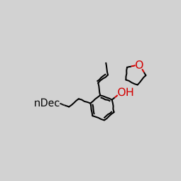 C1CCOC1.CC=Cc1c(O)cccc1CCCCCCCCCCCC